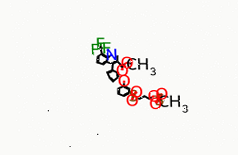 COC(=O)c1cnc2c(C(F)(F)F)cccc2c1-c1cccc(Oc2cccc(S(=O)(=O)CCCOS(C)(=O)=O)c2)c1